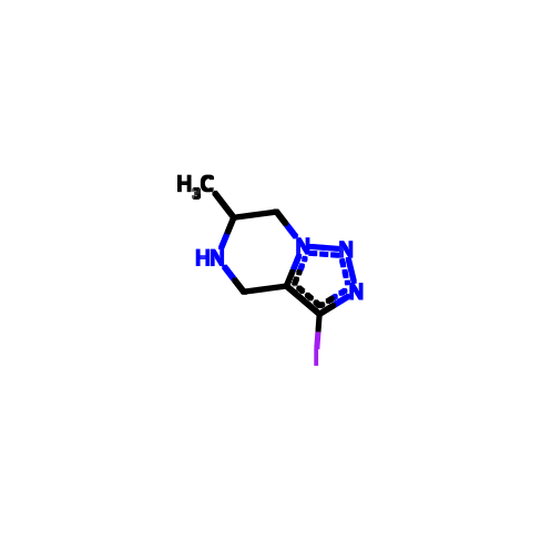 CC1Cn2nnc(I)c2CN1